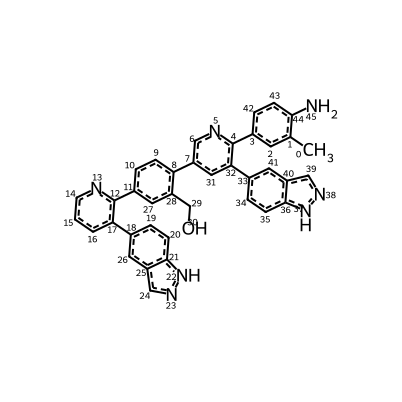 Cc1cc(-c2ncc(-c3ccc(-c4ncccc4-c4ccc5[nH]ncc5c4)cc3CO)cc2-c2ccc3[nH]ncc3c2)ccc1N